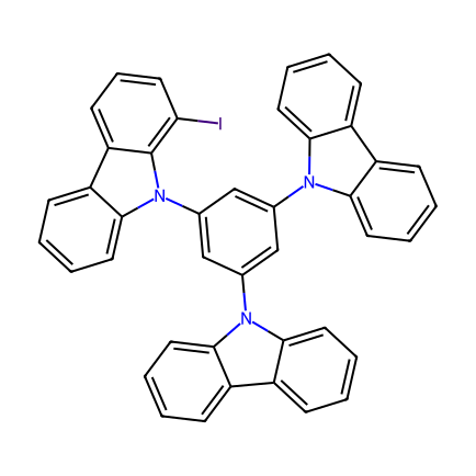 Ic1cccc2c3ccccc3n(-c3cc(-n4c5ccccc5c5ccccc54)cc(-n4c5ccccc5c5ccccc54)c3)c12